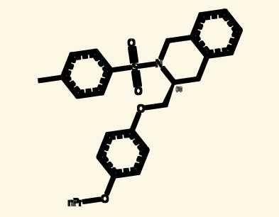 CCCOc1ccc(OC[C@@H]2Cc3ccccc3CN2S(=O)(=O)c2ccc(C)cc2)cc1